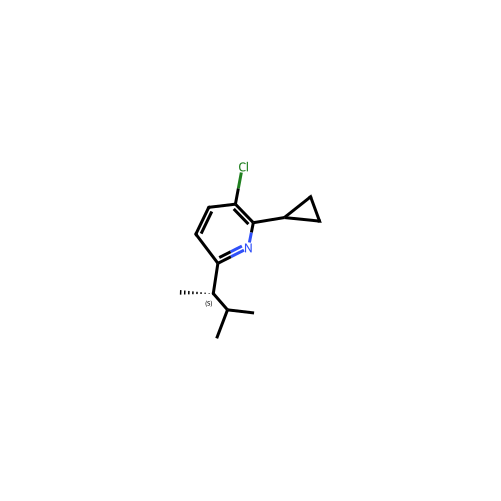 CC(C)[C@H](C)c1ccc(Cl)c(C2CC2)n1